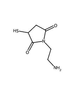 NCCN1C(=O)CC(S)C1=O